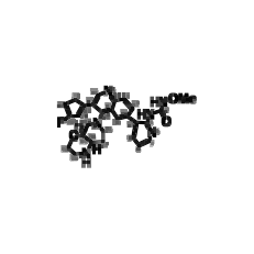 CONC(=O)Nc1ncccc1-c1ccc2ncc(C3=CC(F)=CC3)c(N3CC[C@H]4NCCO[C@@H]4C3)c2c1